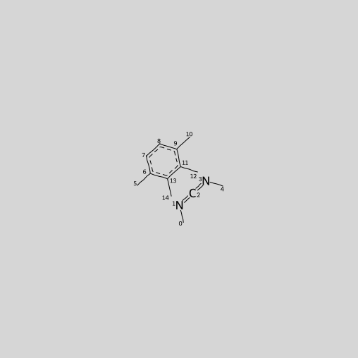 CN=C=NC.Cc1ccc(C)c(C)c1C